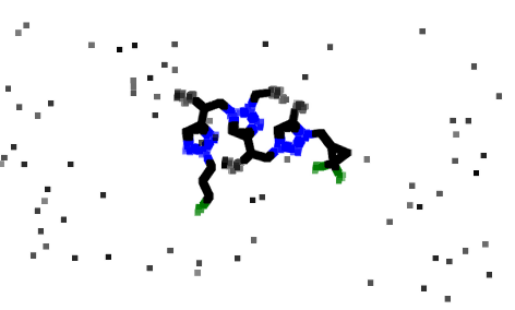 CC(C)c1c[n+](CC(C)c2c[n+](CC(C)c3cnn(CCCF)n3)n(CC(F)(F)F)n2)nn1CC1CC1(F)F